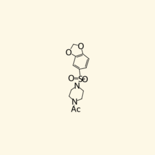 CC(=O)N1CCN(S(=O)(=O)c2ccc3c(c2)OCO3)CC1